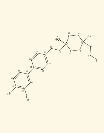 CCCC1(C)COC(O)(CCc2ccc(-c3ccc(F)c(F)c3)cc2)OC1